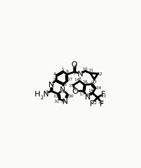 Nc1nc2ccc(C(=O)N(CC3CC3)[C@H]3COc4nc(C(F)(F)F)ccc43)cc2n2cncc12